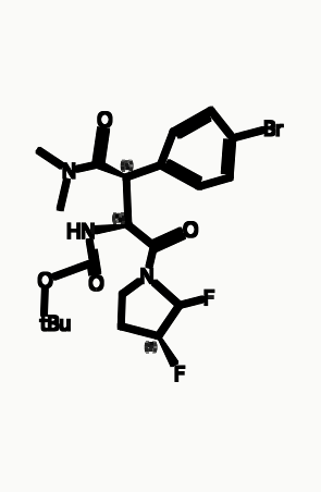 CN(C)C(=O)[C@@H](c1ccc(Br)cc1)[C@H](NC(=O)OC(C)(C)C)C(=O)N1CC[C@H](F)C1F